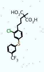 CC(CCCc1ccc(Sc2cccc(C(F)(F)F)c2)cc1Cl)(C(=O)O)C(=O)O